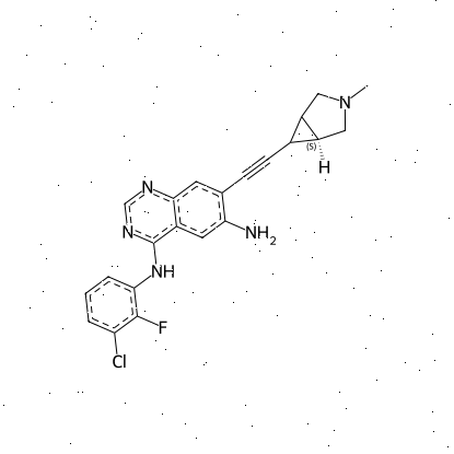 CN1CC2C(C#Cc3cc4ncnc(Nc5cccc(Cl)c5F)c4cc3N)[C@@H]2C1